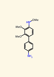 CONc1ccc(-c2ccc(N)cc2)c(OC)c1OC